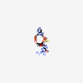 Nc1nc2c(ncn2[C@@H]2O[C@@H]3COPOCCn4c(nc5cncnc54)COP(=O)(S)O[C@@H]2[C@@H]3F)c(=O)[nH]1